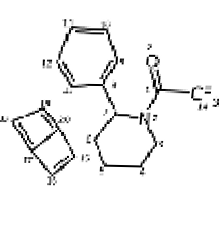 O=C(N1CCCCC1c1ccccc1)C(F)(F)F.c1cc2ccc1-2